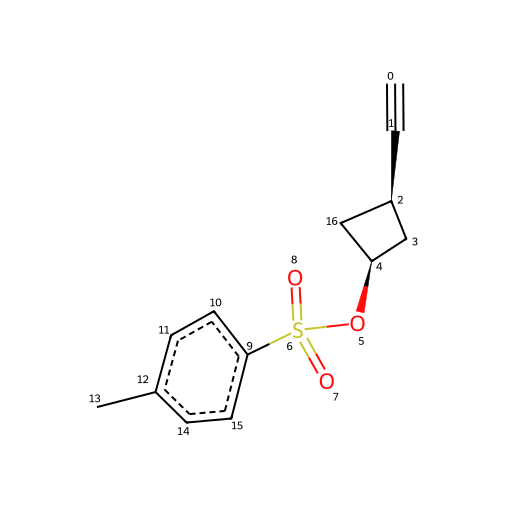 C#C[C@H]1C[C@@H](OS(=O)(=O)c2ccc(C)cc2)C1